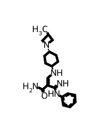 CC1CN([C@H]2CC[C@H](N/C=C(\C(=N)Nc3ccccc3)C(N)=O)CC2)C1